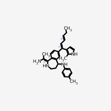 CC/C=C/C=C(/c1ccc2c(c1)C(Nc1ccc(C)cc1)CCN/C2=C(/C)N)c1cc[nH]c1C